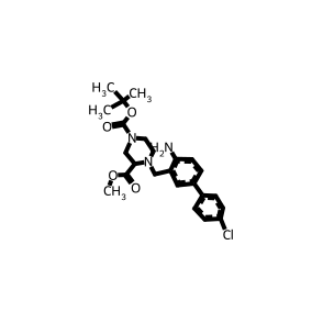 COC(=O)C1CN(C(=O)OC(C)(C)C)CCN1Cc1cc(-c2ccc(Cl)cc2)ccc1N